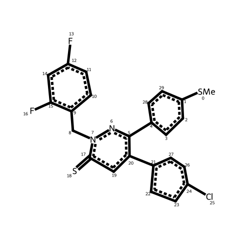 CSc1ccc(-c2nn(Cc3ccc(F)cc3F)c(=S)cc2-c2ccc(Cl)cc2)cc1